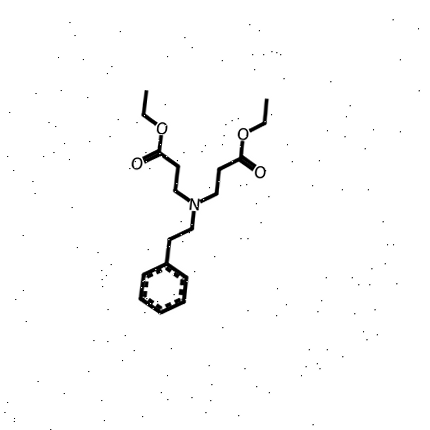 CCOC(=O)CCN(CCC(=O)OCC)CCc1ccccc1